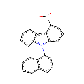 OB(O)c1cccc2c1c1ccccc1n2-c1cccc2ccccc12